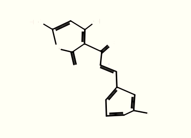 Cc1cccc(/C=C/C(=O)c2c(O)cc(C)oc2=O)c1